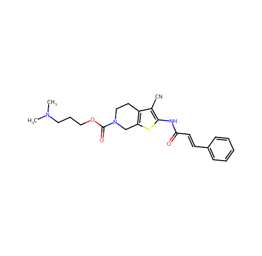 CN(C)CCCOC(=O)N1CCc2c(sc(NC(=O)/C=C/c3ccccc3)c2C#N)C1